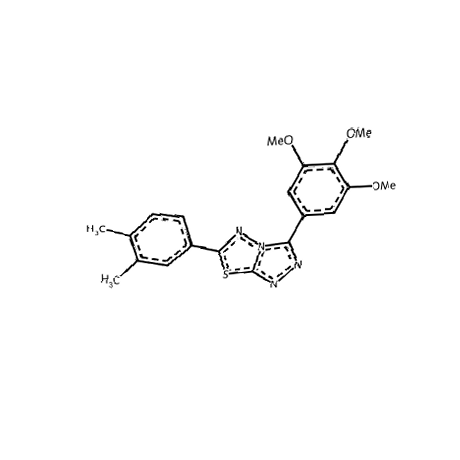 COc1cc(-c2nnc3sc(-c4ccc(C)c(C)c4)nn23)cc(OC)c1OC